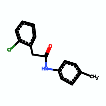 [CH2]c1ccc(NC(=O)Cc2ccccc2Cl)cc1